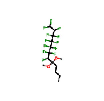 CCCC[Si](OC)(OC)C(F)C(F)(F)C(F)(F)C(F)(F)C(F)(F)C(F)C(F)F